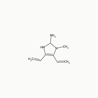 C=CC1=C(C=C)N(C)C(N)N1